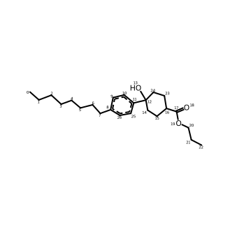 CCCCCCCCc1ccc(C2(O)CCC(C(=O)OCCC)CC2)cc1